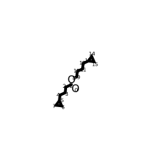 O=C(CCCC1CC1)OCCCCC1CC1